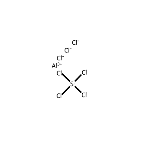 Cl[Si](Cl)(Cl)Cl.[Al+3].[Cl-].[Cl-].[Cl-]